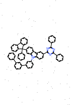 c1ccc(-c2cccc(-c3cccc(-n4c5ccc(-c6nc(-c7ccccc7)nc(-c7ccccc7)n6)cc5c5ccc(C6(c7ccccc7)c7ccccc7-c7ccccc76)cc54)c3)c2)cc1